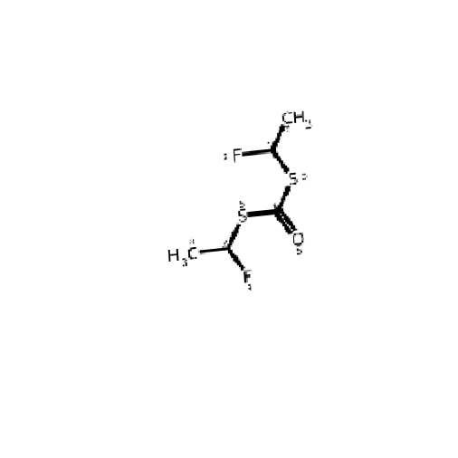 CC(F)SC(=O)SC(C)F